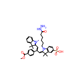 COC(=O)c1ccc(C(=C\C2=[N+](C)c3ccccc3C2(C)C)/C=C2\N(CCCCCC(=O)NN)c3ccc(S(=O)(=O)O)cc3C2(C)C)cc1